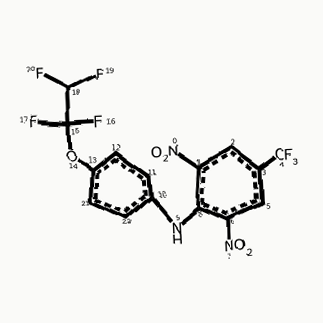 O=[N+]([O-])c1cc(C(F)(F)F)cc([N+](=O)[O-])c1Nc1ccc(OC(F)(F)C(F)F)cc1